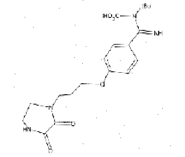 CC(C)(C)N(C(=N)c1ccc(OCCCN2CCNC(=O)C2=O)cc1)C(=O)O